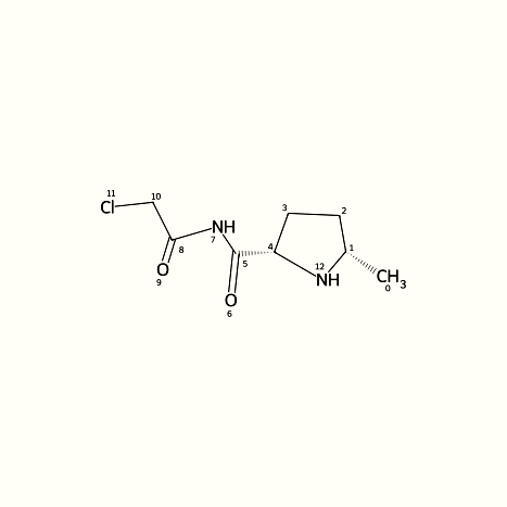 C[C@H]1CC[C@@H](C(=O)NC(=O)CCl)N1